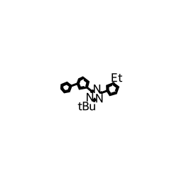 CCc1cccc(-c2nc(-c3cccc(-c4ccccc4)c3)nc(C(C)(C)C)n2)c1